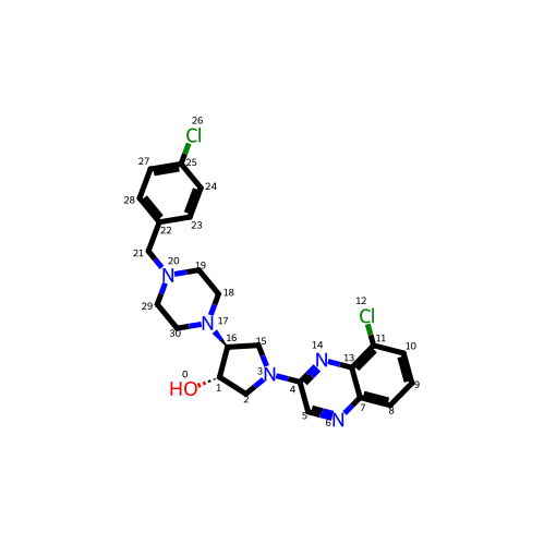 O[C@H]1CN(c2cnc3cccc(Cl)c3n2)C[C@@H]1N1CCN(Cc2ccc(Cl)cc2)CC1